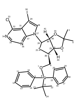 CC1(C)O[C@@H]2[C@@H](CO[Si](c3ccccc3)(c3ccccc3)C(C)(C)C)SC(n3cc(I)c4c(Cl)ncnc43)[C@@H]2O1